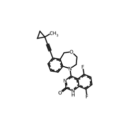 CC1(C#Cc2cccc3c2COCCN3c2nc(=O)[nH]c3c(F)ccc(F)c23)CC1